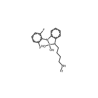 CCNCCCCN1c2ccccc2N(c2c(F)cccc2F)S1(O)O